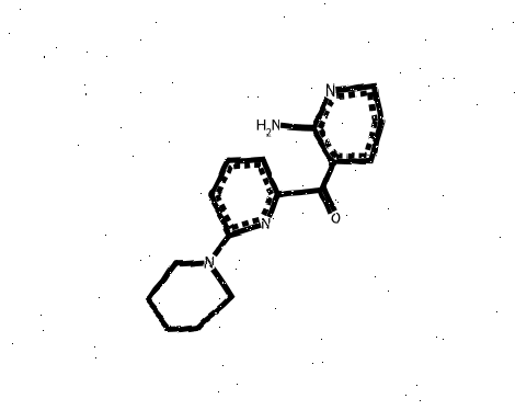 Nc1ncccc1C(=O)c1cccc(N2CCCCC2)n1